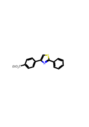 CCOC(=O)c1ccc(-c2csc(-c3ccccc3)n2)cc1